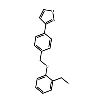 CCc1ccccc1OCc1ccc(-c2ccon2)cc1